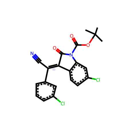 CC(C)(C)OC(=O)N1C(=O)/C(=C(\C#N)c2cccc(Cl)c2)c2ccc(Cl)cc21